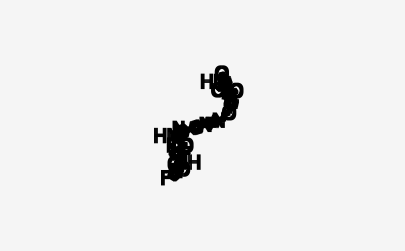 O=C1CCC(N2Cc3cc(OCCN4CC5(C4)CN(c4ccc(-c6cnc7[nH]cc(C(=O)c8c(F)ccc(NS(=O)(=O)N9CC[C@@H](F)C9)c8F)c7c6)cc4)C5)ccc3C2=O)C(=O)N1